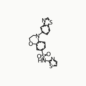 O=S(=O)(Nc1nccs1)c1ccc2c(c1)OCCN2c1ccc2scnc2c1